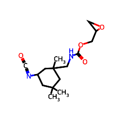 CC1(C)CC(N=C=O)CC(C)(CNC(=O)OCC2CO2)C1